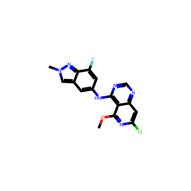 COc1nc(Cl)cc2ncnc(Nc3cc(F)c4nn(C)cc4c3)c12